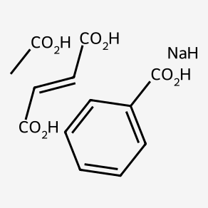 CC(=O)O.O=C(O)/C=C/C(=O)O.O=C(O)c1ccccc1.[NaH]